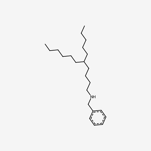 CCCCCCC(CCCCC)CCCCNCc1ccccc1